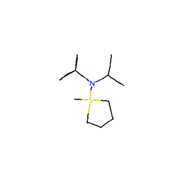 CC(C)N(C(C)C)S1(C)CCCC1